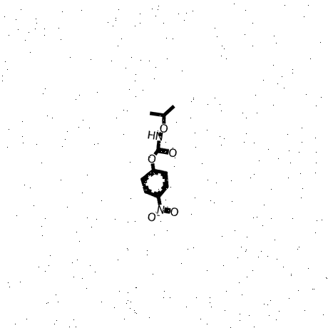 CC(C)ONC(=O)Oc1ccc([N+](=O)[O-])cc1